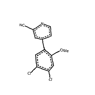 COc1cc(Cl)c(Cl)cc1-c1ccnc(C#N)c1